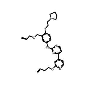 C=CCCOc1cc(-c2ccnc(Nc3ccc(OCCN4CCCC4)c(COCC=C)c3)n2)ccn1